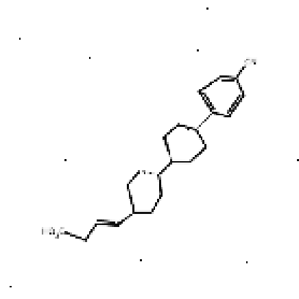 N#Cc1ccc([C@H]2CC[C@H]([C@H]3CC[C@H](C=CCC(=O)O)CC3)CC2)cc1